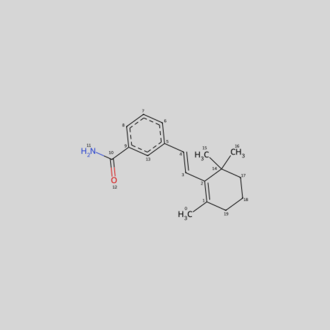 CC1=C(C=Cc2cccc(C(N)=O)c2)C(C)(C)CCC1